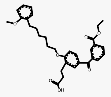 CCOC(=O)c1cccc(C(=O)c2ccc(OCCCCCCc3ccccc3OC)c(CCC(=O)O)c2)c1